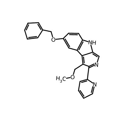 COCc1c(-c2ccccn2)ncc2[nH]c3ccc(OCc4ccccc4)cc3c12